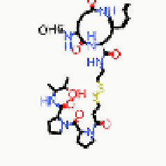 C\C=C/C=C\C1=C\NC(=O)CCC(NC=O)C(=O)N[C@H](C(=O)NCCSSCCC(=O)N2CCCC2C(=O)N2CCCC2C(=O)NC(C)C(C)O)C1